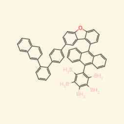 Bc1c(B)c(B)c(-c2c3ccccc3c(-c3cccc4oc5ccc(-c6ccc(-c7ccccc7-c7ccc8ccccc8c7)cc6)cc5c34)c3ccccc23)c(B)c1B